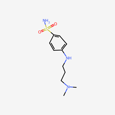 CN(C)CCCNc1ccc(S(N)(=O)=O)cc1